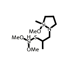 CO[SiH](OC)SC(C)CN1CCC[Si]1(C)OC